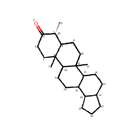 C[C@H]1C(=O)CCC2(C)C1CCC1(C)C3CCC4CCCC4C3CCC12